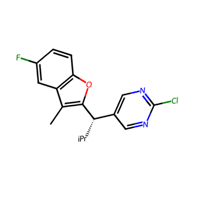 [CH2]C(C)[C@@H](c1cnc(Cl)nc1)c1oc2ccc(F)cc2c1C